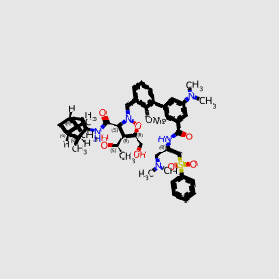 COc1c(CN2O[C@@H](CO)[C@@H]([C@H](C)O)[C@H]2C(=O)NC2C[C@H]3C[C@@H]([C@@H]2C)C3(C)C)cccc1-c1cc(C(=O)N[C@H](CN(C)C)CS(=O)(=O)c2ccccc2)cc(N(C)C)c1